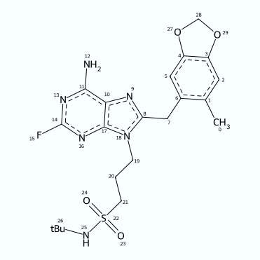 Cc1cc2c(cc1Cc1nc3c(N)nc(F)nc3n1CCCS(=O)(=O)NC(C)(C)C)OCO2